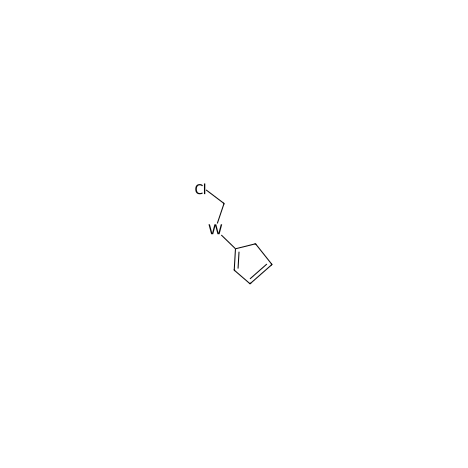 Cl[CH2][W][C]1=CC=CC1